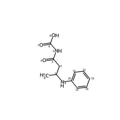 CC(CC(=O)NC(=O)O)Nc1ccccc1